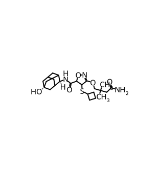 CC(C)(COC1=NOC(C(=O)N[C@H]2C3CC4CC2C[C@](O)(C4)C3)C1SC1CCC1)CC(N)=O